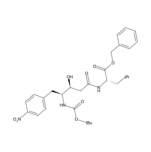 CC(C)C[C@H](NC(=O)C[C@H](O)[C@H](Cc1ccc([N+](=O)[O-])cc1)NC(=O)OC(C)(C)C)C(=O)OCc1ccccc1